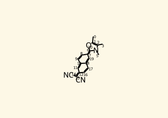 CC1=C(C)N(C)/C(=c2/ccc3cc(=C(C#N)C#N)ccc3c2)O1